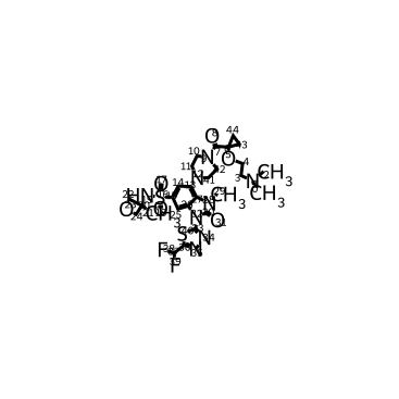 CN(C)CCOC1(C(=O)N2CCN(c3cc(S(=O)(=O)NC4(C)COC4)cc4c3n(C)c(=O)n4-c3nnc(C(F)F)s3)CC2)CC1